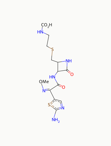 CON=C(C(=O)NC1C(=O)NC1CSCCNC(=O)O)c1cnc(N)s1